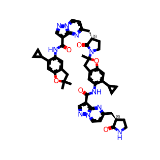 CC1(C)Cc2cc(NC(=O)c3cnn4ccc(C[C@@H]5CCN(C6(C)Cc7cc(NC(=O)c8cnn9ccc(C[C@H]%10CCNC%10=O)nc89)c(C8CC8)cc7O6)C5=O)nc34)c(C3CC3)cc2O1